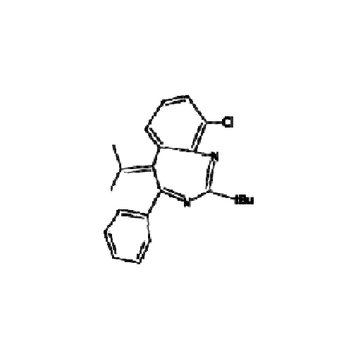 CC(C)=C1C(c2ccccc2)=NC(C(C)(C)C)=Nc2c(Cl)cccc21